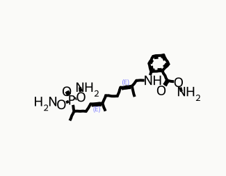 C/C(=C\CC(C)P(=O)(ON)ON)CC/C=C(\C)CNc1ccccc1C(=O)ON